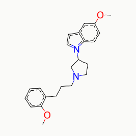 COc1ccc2c(ccn2C2CCN(CCCc3ccccc3OC)C2)c1